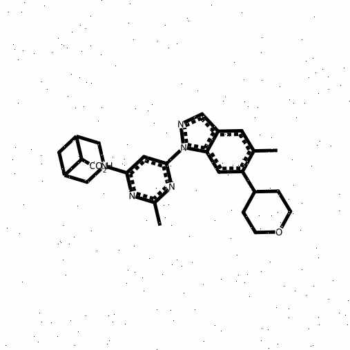 Cc1nc(N2CC3CC(C2)C3C(=O)O)cc(-n2ncc3cc(C)c(C4CCOCC4)cc32)n1